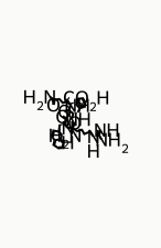 N=C(N)NCCC[C@H](N)C(=O)N[C@@H](Cc1ccc2ccccc2c1)C(=O)N[C@@H](Cc1ccccc1)C(=O)N[C@@H](CCC(N)=O)C(=O)O